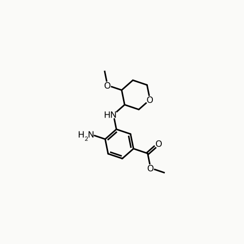 COC(=O)c1ccc(N)c(NC2COCCC2OC)c1